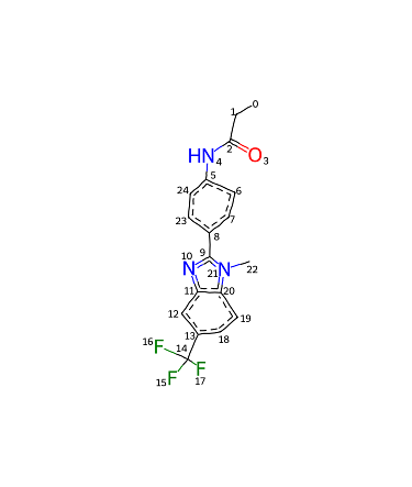 CCC(=O)Nc1ccc(-c2nc3cc(C(F)(F)F)ccc3n2C)cc1